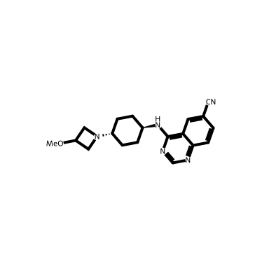 COC1CN([C@H]2CC[C@H](Nc3ncnc4ccc(C#N)cc34)CC2)C1